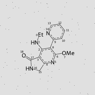 CCNc1c2c(nc(OC)c1-c1ccccn1)CNC2=O